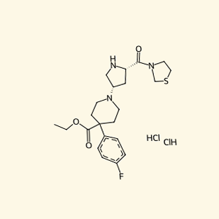 CCOC(=O)C1(c2ccc(F)cc2)CCN([C@@H]2CN[C@H](C(=O)N3CCSC3)C2)CC1.Cl.Cl